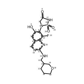 O=C1CN(c2c(O)cc3cnc(NCC4CCCOC4)nc3c2F)S(=O)(=O)N1